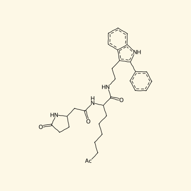 CC(=O)CCCCCC(NC(=O)CC1CCC(=O)N1)C(=O)NCCc1c(-c2ccccc2)[nH]c2ccccc12